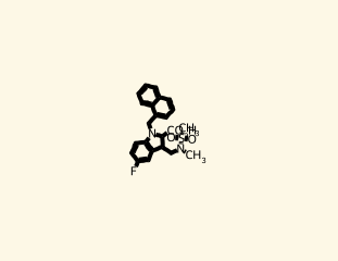 CN(CC1c2cc(F)ccc2N(Cc2cccc3ccccc23)C1C(=O)O)S(C)(=O)=O